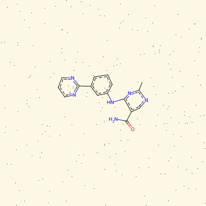 Cc1ncc(C(N)=O)c(Nc2cccc(-c3ncccn3)c2)n1